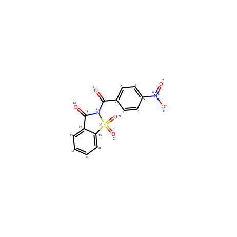 O=C(c1ccc([N+](=O)[O-])cc1)N1C(=O)c2ccccc2S1(=O)=O